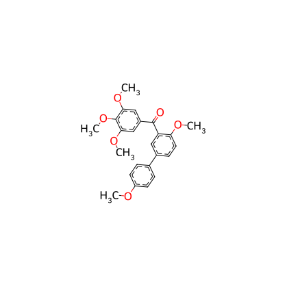 COc1ccc(-c2ccc(OC)c(C(=O)c3cc(OC)c(OC)c(OC)c3)c2)cc1